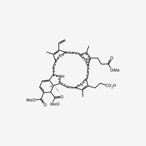 C=CC1=C(C)c2cc3[nH]c(cc4nc(cc5[nH]c(cc1n2)c(C)c5CCC(=O)OC)C(CCC(=O)O)=C4C)[C@]1(C)C3=CC=C(C(=O)OC)C1C(=O)OC